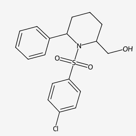 O=S(=O)(c1ccc(Cl)cc1)N1C(CO)CCCC1c1ccccc1